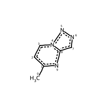 Cc1ccn2nncc2n1